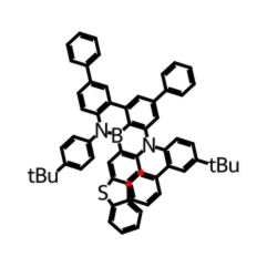 CC(C)(C)c1ccc(N2B3c4cc5sc6ccccc6c5cc4N(c4ccc(C(C)(C)C)cc4-c4ccccc4)c4cc(-c5ccccc5)cc(c43)-c3cc(-c4ccccc4)ccc32)cc1